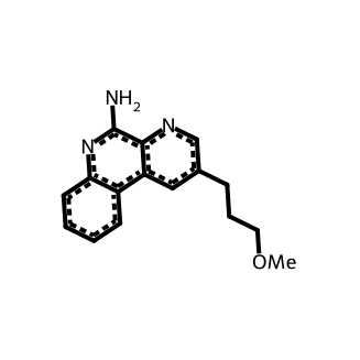 COCCCc1cnc2c(N)nc3ccccc3c2c1